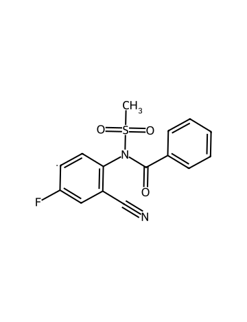 CS(=O)(=O)N(C(=O)c1ccccc1)c1c[c]c(F)cc1C#N